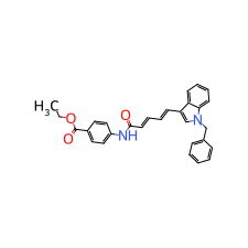 CCOC(=O)c1ccc(NC(=O)C=CC=Cc2cn(Cc3ccccc3)c3ccccc23)cc1